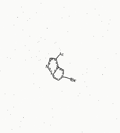 CC(=O)c1cnn2ccc(Br)cc12